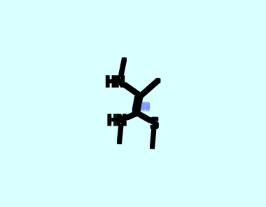 CN/C(C)=C(\NC)SC